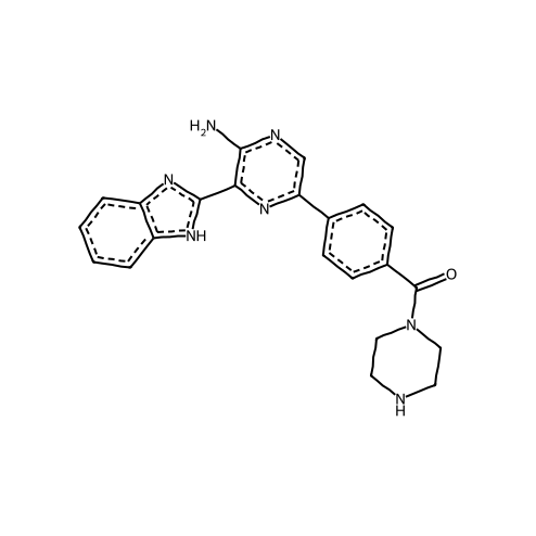 Nc1ncc(-c2ccc(C(=O)N3CCNCC3)cc2)nc1-c1nc2ccccc2[nH]1